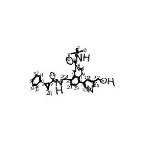 CC(C)(C)NC(=O)N1CCc2c(-c3cncc(CO)c3)ccc(CNC(=O)[C@H]3C[C@@H]3c3ccccc3)c2C1